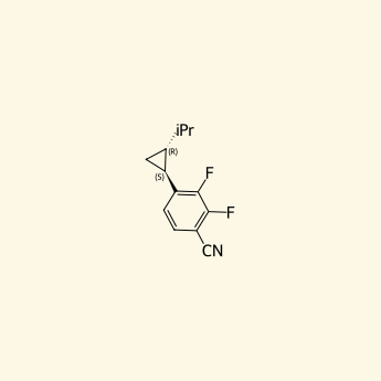 CC(C)[C@H]1C[C@@H]1c1ccc(C#N)c(F)c1F